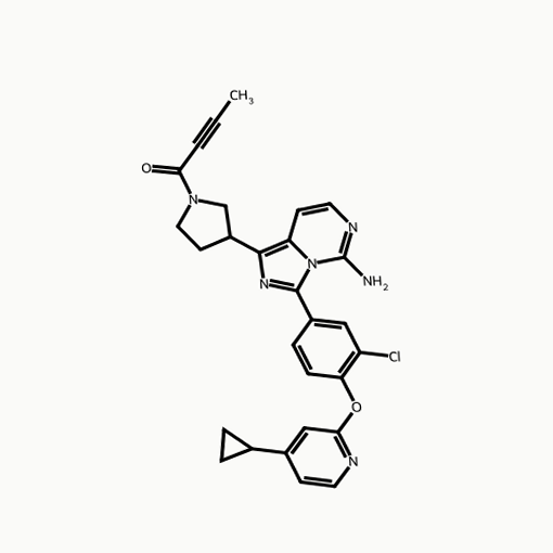 CC#CC(=O)N1CCC(c2nc(-c3ccc(Oc4cc(C5CC5)ccn4)c(Cl)c3)n3c(N)nccc23)C1